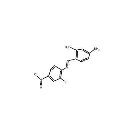 Cc1cc(N)ccc1/N=N/c1ccc([N+](=O)[O-])cc1Cl